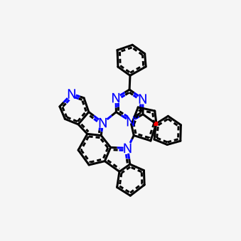 c1ccc(-c2nc(-c3ccccc3)nc(-n3c4cnccc4c4ccc5c6ccccc6n(-c6ccccc6)c5c43)n2)cc1